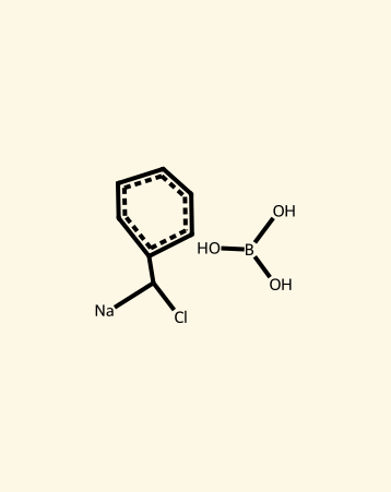 OB(O)O.[Na][CH](Cl)c1ccccc1